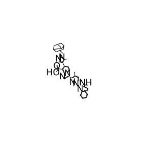 Cc1cc(Nc2nc3ccccc3s2)nnc1-c1cnc2c(C(=O)O)c(-c3cnn(CC45CC6CC(CC(C6)C4)C5)c3C)ccn12